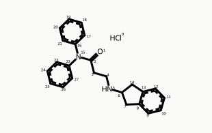 Cl.O=C(CCNC1Cc2ccccc2C1)N(c1ccccc1)c1ccccc1